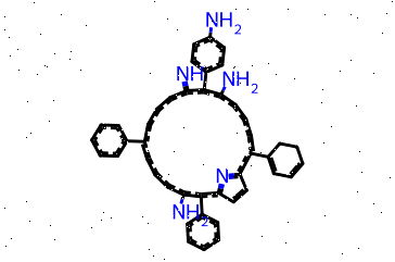 N=c1cccc(-c2ccccc2)cccc(N)c(-c2ccccc2)c2nc(c(C3=CC=CCC3)cccc(N)c1-c1ccc(N)cc1)C=C2